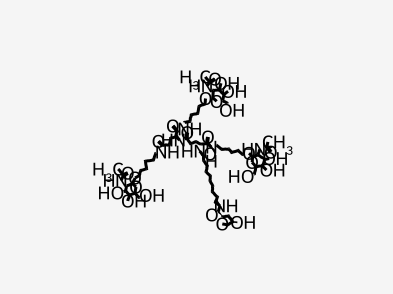 CC(=O)NC1C(OCCCCCCNC(=O)CCC(NC(=O)CCC(NC(=O)CCCCCCCCCNC(=O)[C@H]2C[C@@H](O)CO2)C(=O)NCCCCCCOC2OC(CO)C(O)C(O)C2NC(C)=O)C(=O)NCCCCCCOC2OC(CO)C(O)C(O)C2NC(C)=O)OC(CO)C(O)C1O